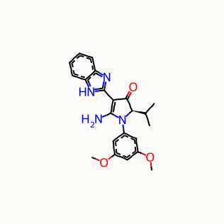 COc1cc(OC)cc(N2C(N)=C(c3nc4ccccc4[nH]3)C(=O)[C@H]2C(C)C)c1